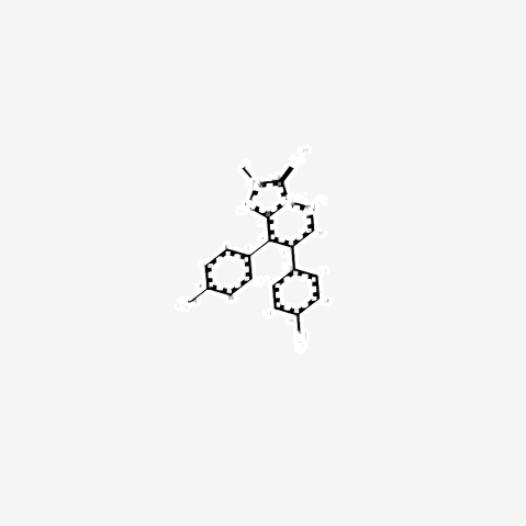 Cn1nc2c(-c3ccc(Cl)cc3)c(-c3ccc(Cl)cc3)cnn2c1=O